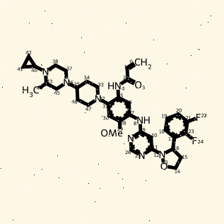 C=CC(=O)Nc1cc(Nc2cc(N3OCCC3c3cccc(F)c3F)ncn2)c(OC)cc1N1CCC(N2CCN(C3CC3)C(C)C2)CC1